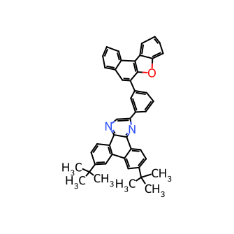 CC(C)(C)c1ccc2c(c1)c1cc(C(C)(C)C)ccc1c1nc(-c3cccc(-c4cc5ccccc5c5c4oc4ccccc45)c3)cnc21